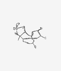 CC1(c2ccc(Cl)cc2)NS(=O)(=O)N=C1c1ccc(Cl)c(F)c1